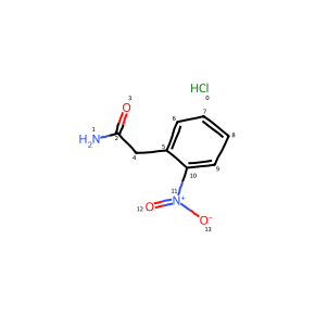 Cl.NC(=O)Cc1ccccc1[N+](=O)[O-]